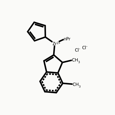 CC[CH2][Zr+2]([C]1=Cc2cccc(C)c2C1C)[CH]1C=CC=C1.[Cl-].[Cl-]